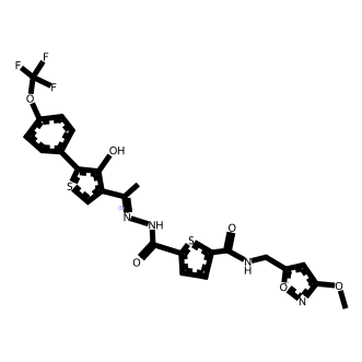 COc1cc(CNC(=O)c2ccc(C(=O)N/N=C(\C)c3csc(-c4ccc(OC(F)(F)F)cc4)c3O)s2)on1